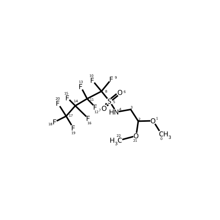 COC(CNS(=O)(=O)C(F)(F)C(F)(F)C(F)(F)C(F)(F)F)OC